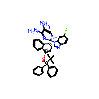 CC(C)(C)[Si](O[C@@H]1CC[C@@H](C2(n3cnc4ccc(F)cc43)N=C(N)C(N)=CN2)c2ccccc21)(c1ccccc1)c1ccccc1